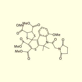 COC(=O)C1=C(C(=O)OC)C2(SC(C(=O)OC)C(C(=O)OC)S2)C2=C(S1)C(C)(C)N(C(=O)CN1C(=O)CCC1=O)c1c(OC)cccc12